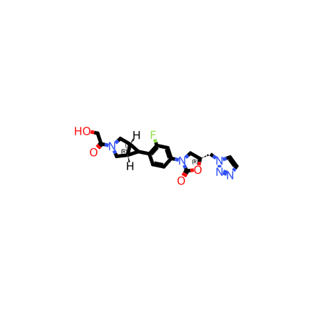 O=C(CO)N1C[C@@H]2C(c3ccc(N4C[C@H](Cn5ccnn5)OC4=O)cc3F)[C@@H]2C1